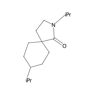 CC(C)C1CCC2(CC1)CCN(C(C)C)C2=O